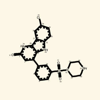 O=c1cc(-c2cccc(S(=O)(=O)N3CCNCC3)c2)c2[nH]c3ccc(Cl)cc3c2[nH]1